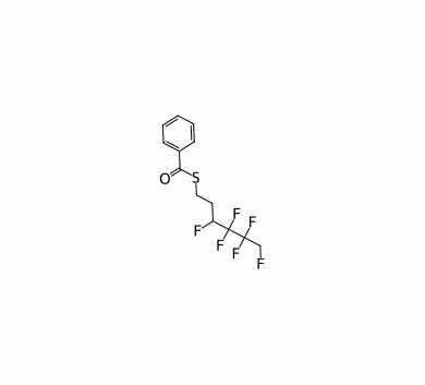 O=C(SCCC(F)C(F)(F)C(F)(F)CF)c1ccccc1